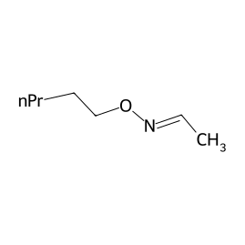 CC=NOCCCCC